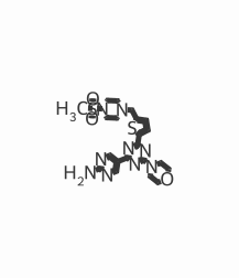 CS(=O)(=O)N1CCN(Cc2ccc(-c3nc(-c4cnc(N)nc4)nc(N4CCOCC4)n3)s2)CC1